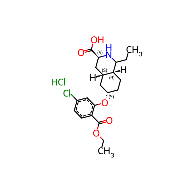 CCOC(=O)c1ccc(Cl)cc1O[C@H]1CC[C@H]2C(CC)N[C@H](C(=O)O)C[C@H]2C1.Cl